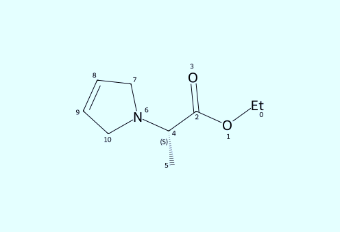 CCOC(=O)[C@H](C)N1CC=CC1